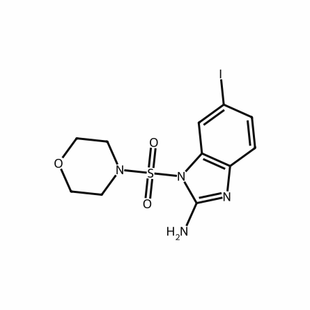 Nc1nc2ccc(I)cc2n1S(=O)(=O)N1CCOCC1